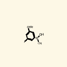 COc1cccc(I)c1.OBO